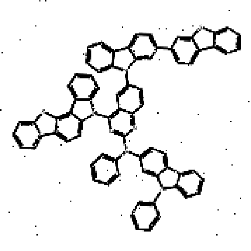 c1ccc(N(c2ccc3c4ccccc4n(-c4ccccc4)c3c2)c2nc(-n3c4ccccc4c4c5sc6ccccc6c5ccc43)c3cc(-n4c5ccccc5c5ccc(-c6ccc7c(c6)sc6ccccc67)cc54)ccc3n2)cc1